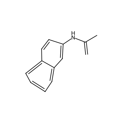 C=C(C)Nc1ccc2ccccc2c1